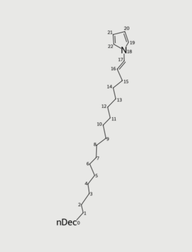 CCCCCCCCCCCCCCCCCCCCCCCCCC=Cn1cccc1